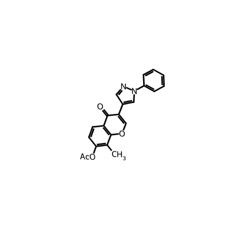 CC(=O)Oc1ccc2c(=O)c(-c3cnn(-c4ccccc4)c3)coc2c1C